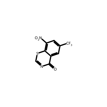 O=c1ncsc2c([N+](=O)[O-])cc(C(F)(F)F)cc12